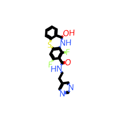 O=C(NCCc1cncnc1)c1c(F)cc2c(c1F)NC(O)c1ccccc1S2